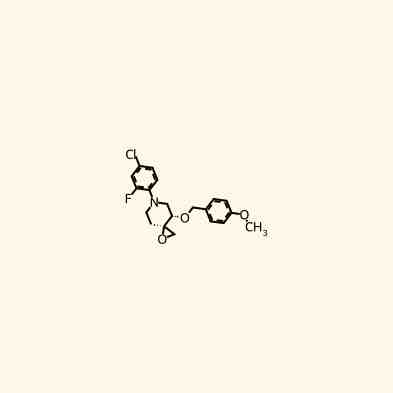 COc1ccc(CO[C@H]2CN(c3ccc(Cl)cc3F)CC[C@@]23CO3)cc1